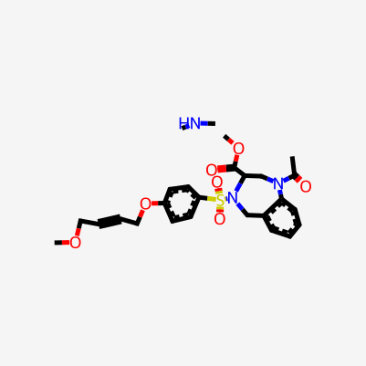 CNC.COCC#CCOc1ccc(S(=O)(=O)N2Cc3ccccc3N(C(C)=O)CC2C(=O)OC)cc1